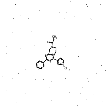 C=CC(=O)N1CCc2c(nc(-c3ccccc3)nc2-c2ccn(C)n2)C1